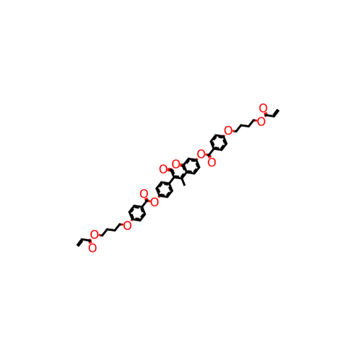 C=CC(=O)OCCCCOc1ccc(C(=O)Oc2ccc(-c3c(C)c4ccc(OC(=O)c5ccc(OCCCCOC(=O)C=C)cc5)cc4oc3=O)cc2)cc1